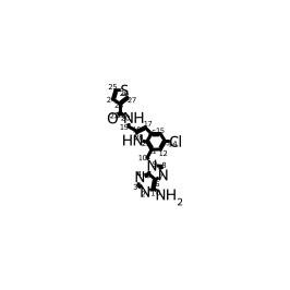 Nc1ncnc2c1ncn2Cc1cc(Cl)cc2cc(CNC(=O)c3ccsc3)[nH]c12